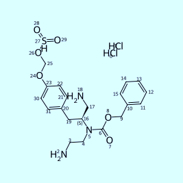 Cl.Cl.NCCN(C(=O)OCc1ccccc1)[C@H](CN)Cc1ccc(OCO[SH](=O)=O)cc1